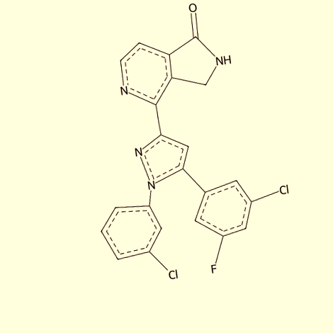 O=C1NCc2c1ccnc2-c1cc(-c2cc(F)cc(Cl)c2)n(-c2cccc(Cl)c2)n1